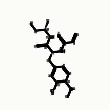 C=CC(=O)N[C@H](Cc1ccc(OC)c(Cl)c1)C(=O)N[C@@H](C)CC